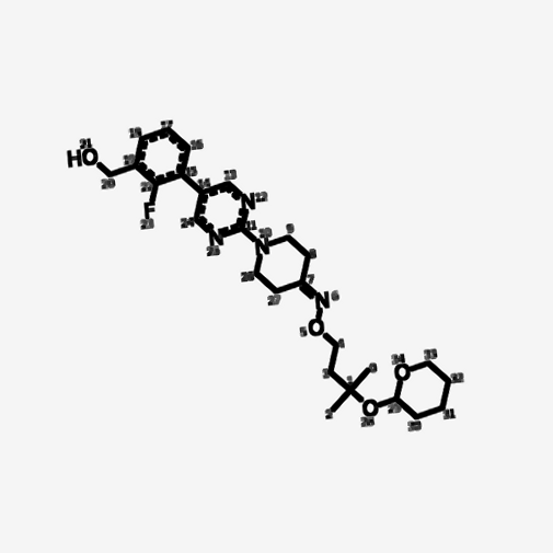 CC(C)(CCON=C1CCN(c2ncc(-c3cccc(CO)c3F)cn2)CC1)OC1CCCCO1